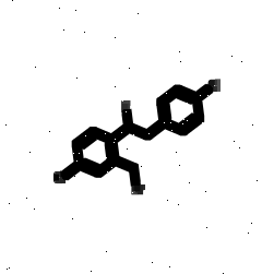 FC(Cc1ccc(Cl)cc1)c1ccc(Cl)cc1CBr